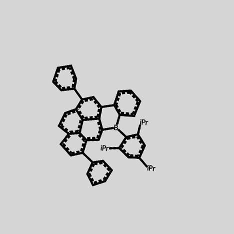 CC(C)c1cc(C(C)C)c(B2c3ccccc3-c3cc(-c4ccccc4)c4ccc5ccc(-c6ccccc6)c6cc2c3c4c56)c(C(C)C)c1